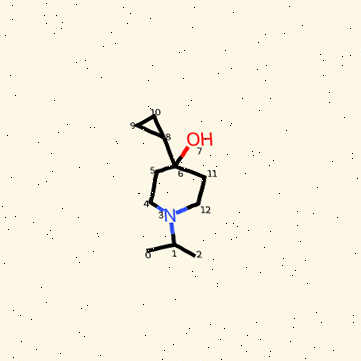 CC(C)N1CCC(O)(C2CC2)CC1